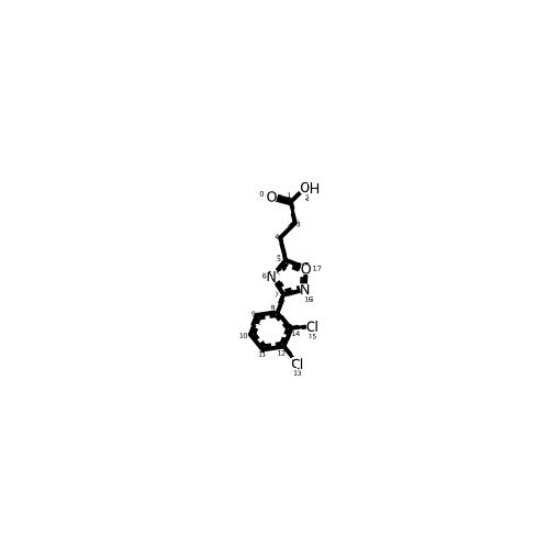 O=C(O)CCc1nc(-c2cccc(Cl)c2Cl)no1